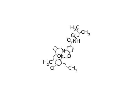 C=CCC(O)C1CCC1CN1CC(c2ccc(Cl)cc2CCC)COc2ccc(C(=O)N[S+]([O-])C[C@H](C)C=C)cc21